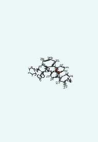 COC1CCCCN1C(C)C(=O)N(c1ccc(-c2ccnc(C)c2)cc1)c1ccccc1-c1ccccc1